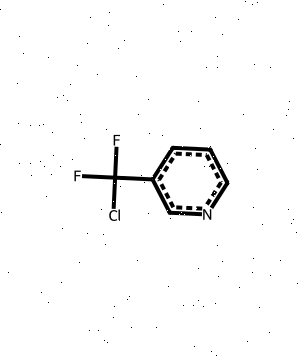 FC(F)(Cl)c1cccnc1